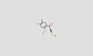 CC1=C(C)CC(C(=O)C#CSI)=C(SI)C1